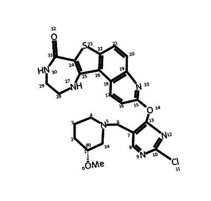 CO[C@@H]1CCCN(Cc2cnc(Cl)nc2Oc2ccc3c(ccc4sc5c(c43)NCCNC5=O)n2)C1